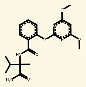 COc1cc(OC)nc(Sc2ccccc2C(=O)NC(C)(C(N)=O)C(C)C)n1